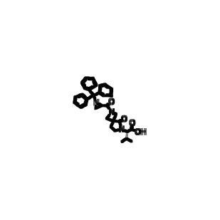 CC(C)[C@@H](C(=O)O)N1CCC2(CN(C(=O)C3CN3C(c3ccccc3)(c3ccccc3)c3ccccc3)C2)C1=O